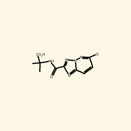 CC(C)(NC(=O)c1nc2ccc(Cl)nn2n1)C(=O)O